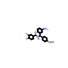 COc1ccc(C(N[C@@H](C)c2ccc(F)c(F)c2)c2cccc(N)c2)cc1